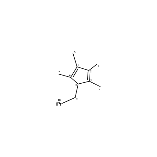 CC1=C(C)C(C)=C(C)[C]1CC(C)C